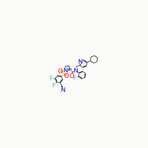 N#Cc1cc(S(=O)(=O)N2CC[C@@H]2C(=O)N(Cc2ccc(C3CCCCC3)cn2)c2ccccc2F)cc(F)c1F